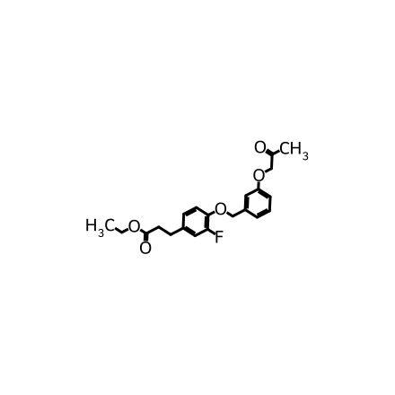 CCOC(=O)CCc1ccc(OCc2cccc(OCC(C)=O)c2)c(F)c1